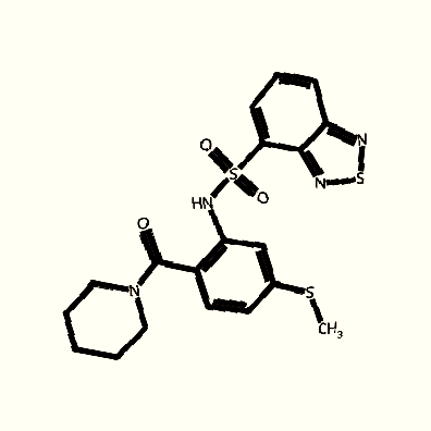 CSc1ccc(C(=O)N2CCCCC2)c(NS(=O)(=O)c2cccc3nsnc23)c1